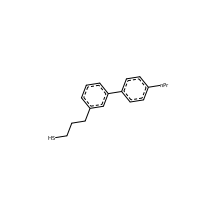 CCCc1ccc(-c2cccc(CCCS)c2)cc1